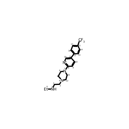 CCNCCN1CCN(c2ccc(-c3ccc(C(F)(F)F)cc3)cn2)CC1